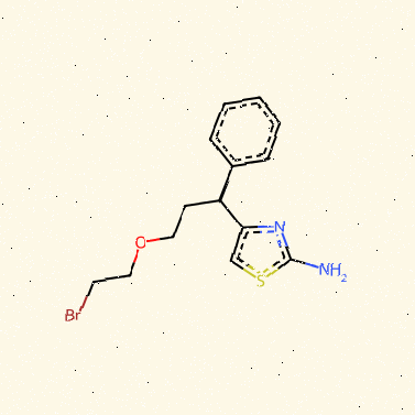 Nc1nc(C(CCOCCBr)c2ccccc2)cs1